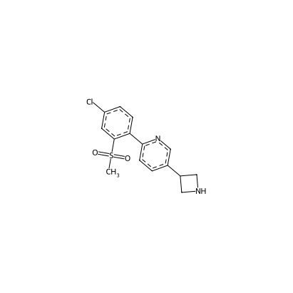 CS(=O)(=O)c1cc(Cl)ccc1-c1ccc(C2CNC2)cn1